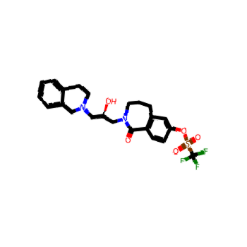 O=C1c2ccc(OS(=O)(=O)C(F)(F)F)cc2CCCN1C[C@H](O)CN1CCc2ccccc2C1